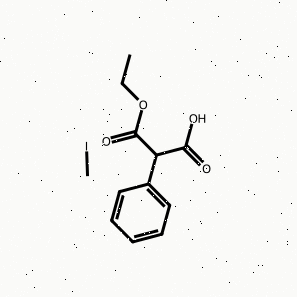 CCOC(=O)C(C(=O)O)c1ccccc1.CI